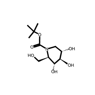 CC(C)(C)OC(=O)N1C[C@H](O)[C@@H](O)[C@H](O)[C@H]1CO